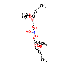 C=C(C)C(=O)Oc1cc(-c2ccc(CCCCC)cc2)ccc1OCCCCCOC(=O)CCN(CCO)CCC(=O)OCCCCCOc1ccc(-c2ccc(CCCCC)cc2)cc1OC(=O)C(=C)C